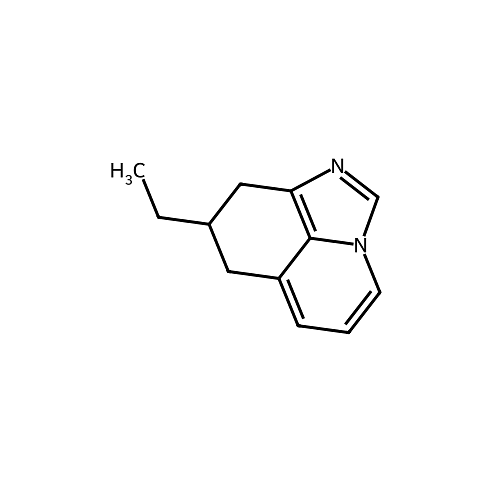 CCC1Cc2cccn3cnc(c23)C1